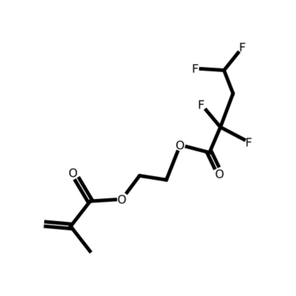 C=C(C)C(=O)OCCOC(=O)C(F)(F)CC(F)F